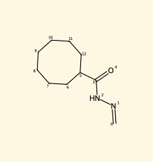 C=NNC(=O)C1CCCCCCC1